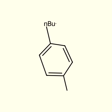 CCC[CH]c1ccc(C)cc1